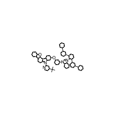 CC(C)(C)c1ccnc(-n2c3cc(Oc4cccc(-n5c[n+](-c6c(-c7cccc(-c8ccccc8)c7)cccc6-c6cccc(-c7ccccc7)c6)c6ccccc65)c4)ccc3c3c4oc5ccccc5c4ccc32)c1